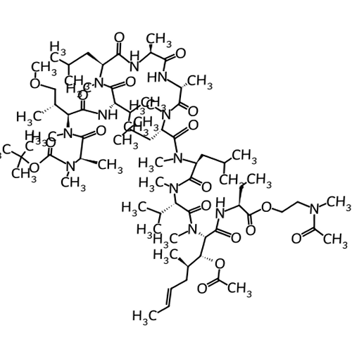 C/C=C/C[C@@H](C)[C@@H](OC(C)=O)[C@@H](C(=O)N[C@@H](CC)C(=O)OCCN(C)C(C)=O)N(C)C(=O)[C@H](C(C)C)N(C)C(=O)[C@H](CC(C)C)N(C)C(=O)[C@H](CC(C)C)N(C)C(=O)[C@@H](C)NC(=O)[C@H](C)NC(=O)[C@H](CC(C)C)N(C)C(=O)[C@@H](NC(=O)[C@H]([C@H](C)COC)N(C)C(=O)[C@@H](C)N(C)C(=O)OC(C)(C)C)C(C)C